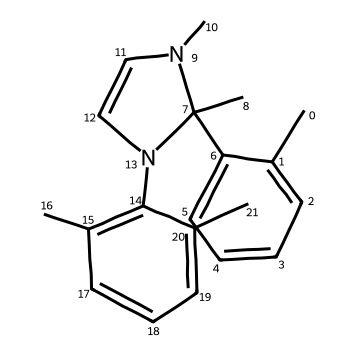 Cc1ccccc1C1(C)N(C)C=CN1c1c(C)cccc1C